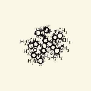 CC1(C)CCC(C)(C)c2cc(N3c4cc(N5c6ccccc6C6(C)CCCCC56C)ccc4B4c5cc6c(cc5N(c5ccc7c(c5)C(C)(C)CCC7(C)C)c5cc(N7c8ccccc8C8(C)CCCCC78C)cc3c54)C(C)(C)CCC6(C)C)ccc21